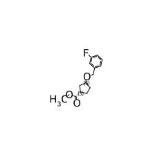 COC(=O)[C@H]1CC[C@H](OCc2cccc(F)c2)C1